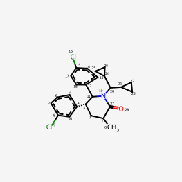 CC1C[C@H](c2cccc(Cl)c2)C(c2ccc(Cl)cc2)N(C(C2CC2)C2CC2)C1=O